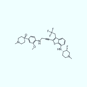 COc1cc(P2(=O)CCN(C)CC2)ccc1NCC#Cc1sc2c(N[C@H]3CCN(C)C[C@@H]3F)cccc2c1CC(F)(F)F